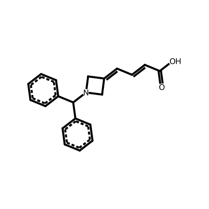 O=C(O)C=CC=C1CN(C(c2ccccc2)c2ccccc2)C1